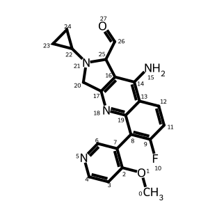 COc1ccncc1-c1c(F)ccc2c(N)c3c(nc12)CN(C1CC1)C3C=O